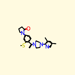 C=C(c1ccc(N2CCCC2=O)cc1SC)N1CCN(c2ncc(C)cc2C)CC1